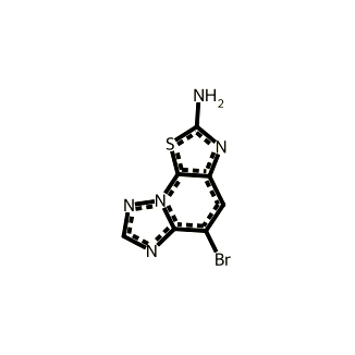 Nc1nc2cc(Br)c3ncnn3c2s1